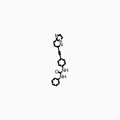 O=C(Nc1ccccc1)Nc1ccc(C#Cc2ccc3nccn3n2)cc1